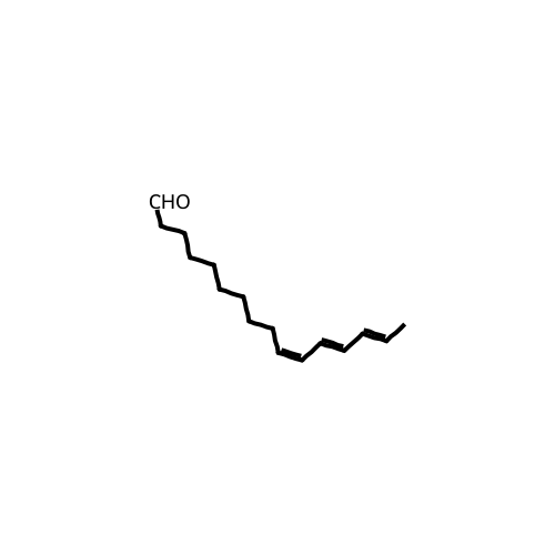 C/C=C/C=C/C=C\CCCCCCCCC=O